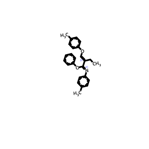 CCC(=C\Oc1ccc(C)cc1)/C(=N/c1ccc(C)cc1)Oc1ccccc1